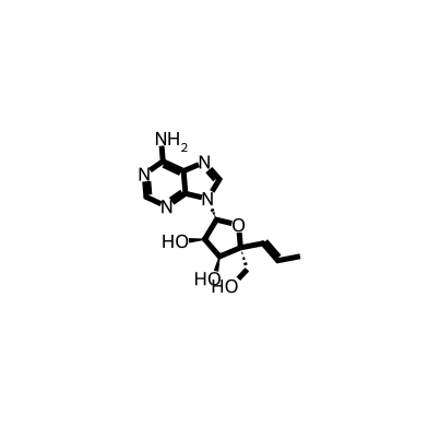 CC=C[C@]1(CO)O[C@@H](n2cnc3c(N)ncnc32)[C@H](O)[C@@H]1O